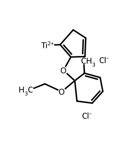 CCOC1(OC2=[C]([Ti+2])CC=C2)CC=CC=C1C.[Cl-].[Cl-]